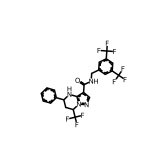 O=C(NCc1cc(C(F)(F)F)cc(C(F)(F)F)c1)c1cnn2c1NC(c1ccccc1)CC2C(F)(F)F